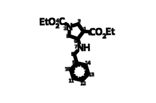 CCOC(=O)C1CN(C(=O)OCC)CC1NCc1ccccc1